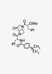 COC(CC(C)C)C(=O)N1CC(=O)C2C1CCN2C(=O)C(CC(C)C)NC(=O)c1ccc(N(C)C)cc1